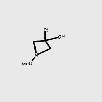 CCC1(O)CN(OC)C1